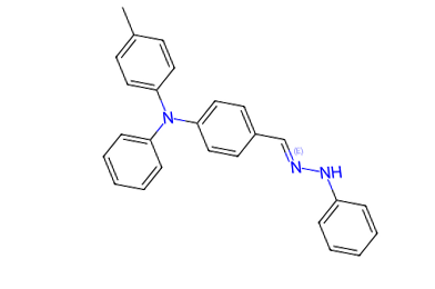 Cc1ccc(N(c2ccccc2)c2ccc(/C=N/Nc3ccccc3)cc2)cc1